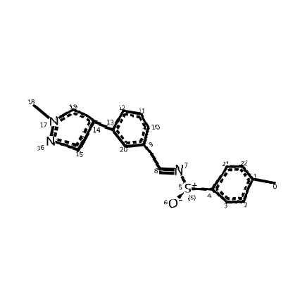 Cc1ccc([S@@+]([O-])N=Cc2cccc(-c3cnn(C)c3)c2)cc1